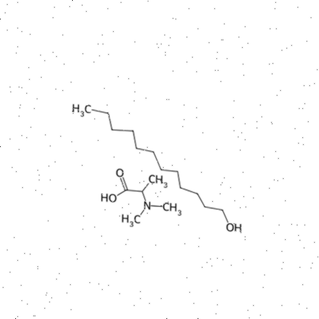 CC(C(=O)O)N(C)C.CCCCCCCCCCCCO